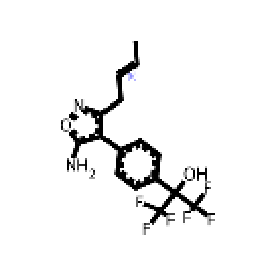 C/C=C/Cc1noc(N)c1-c1ccc(C(O)(C(F)(F)F)C(F)(F)F)cc1